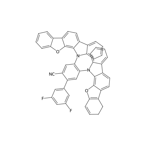 N#Cc1cc(-n2c3ccccc3c3ccc4c5ccccc5oc4c32)c(-n2c3ccccc3c3ccc4c5c(oc4c32)C=CCC5)cc1-c1cc(F)cc(F)c1